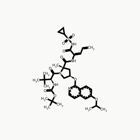 C=C/C=C(/NC(=O)[C@]1(C)C[C@@H](Oc2nccc3cc(OC(C)C)ccc23)CN1C(=O)[C@@H](NC(=O)OC(C)(C)C)C(C)(C)C)C(=O)NS(=O)(=O)C1CC1